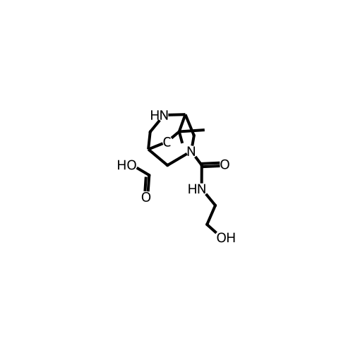 CC1(C)CC2CNC1CN(C(=O)NCCO)C2.O=CO